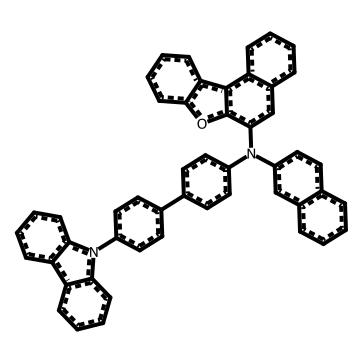 c1ccc2cc(N(c3ccc(-c4ccc(-n5c6ccccc6c6ccccc65)cc4)cc3)c3cc4ccccc4c4c3oc3ccccc34)ccc2c1